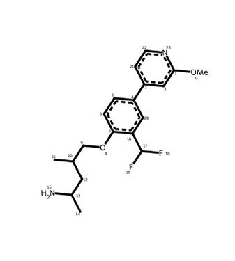 COc1cc(-c2ccc(OCC(C)CC(C)N)c(C(F)F)c2)ccn1